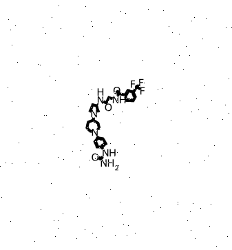 NC(=O)Nc1ccc(N2CCCC(N3CC[C@@H](NC(=O)CNC(=O)c4cccc(C(F)(F)F)c4)C3)CC2)cc1